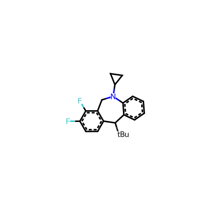 CC(C)(C)C1c2ccccc2N(C2CC2)Cc2c1ccc(F)c2F